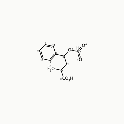 O=C(O)C(CC(O[SH](=O)=O)c1ccccc1)C(F)(F)F